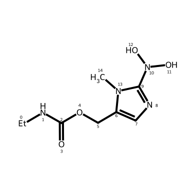 CCNC(=O)OCc1cnc(N(O)O)n1C